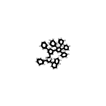 c1ccc(-c2cc(-c3nc(-c4ccccc4)cc(-c4cccc5ccccc45)n3)cc(-c3cc(-c4ccccc4)c(-c4ccccc4)c(-c4ccccc4)c3-c3ccccc3)c2)cc1